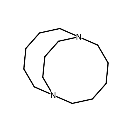 C1CCN2CCCCCN(CC1)CCC2